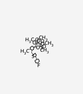 CS[C@H]1O[C@@H](c2ccc(C)c(Cc3ccc(-c4ccc(F)cc4)s3)c2)[C@H](OC(C)=O)[C@@H](OC(C)=O)[C@@H]1OC(C)=O